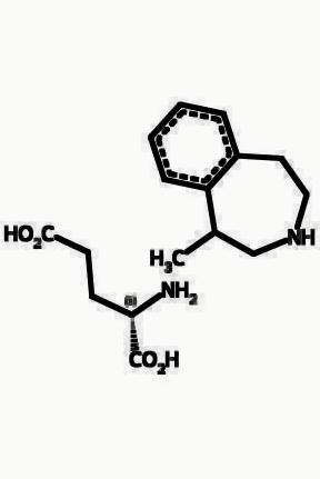 CC1CNCCc2ccccc21.N[C@@H](CCC(=O)O)C(=O)O